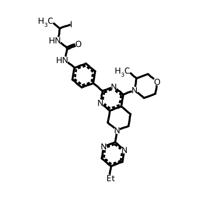 CCc1cnc(N2CCc3c(nc(-c4ccc(NC(=O)NC(C)I)cc4)nc3N3CCOCC3C)C2)nc1